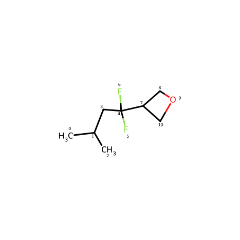 CC(C)CC(F)(F)C1COC1